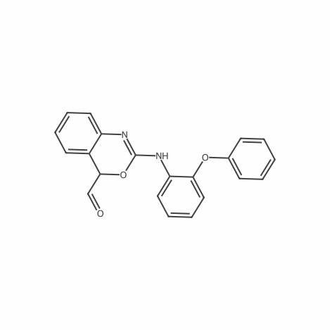 O=CC1OC(Nc2ccccc2Oc2ccccc2)=Nc2ccccc21